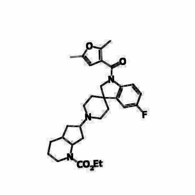 CCOC(=O)N1CCCC2CC(N3CCC4(CC3)CN(C(=O)c3cc(C)oc3C)c3ccc(F)cc34)CC21